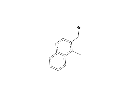 Cc1c(CBr)ccc2ccccc12